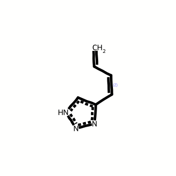 C=C/C=C\c1c[nH]nn1